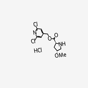 CO[C@H]1CN[C@H](C(=O)OCc2cc(Cl)nc(Cl)c2)C1.Cl